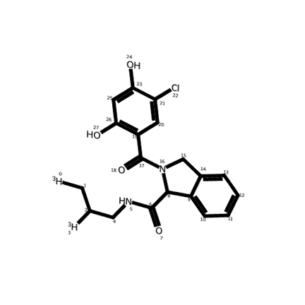 [3H]CC([3H])CNC(=O)C1c2ccccc2CN1C(=O)c1cc(Cl)c(O)cc1O